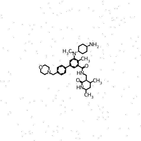 Cc1c(C(=O)NCC2C(=O)NC(C)CC2C)cc(-c2ccc(CN3CCOCC3)cc2)cc1N(C)[C@H]1CC[C@H](N)CC1